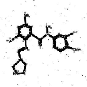 COc1ccc(N(C)C(=O)c2cc([N+](=O)[O-])cc(C)c2/N=C/C2CCNC2)cc1F